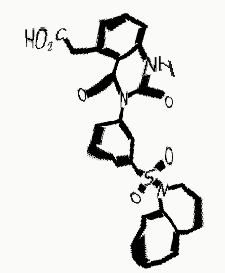 O=C(O)Cc1cccc2[nH]c(=O)n(-c3cccc(S(=O)(=O)N4CCCc5ccccc54)c3)c(=O)c12